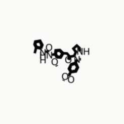 COC(=O)c1ccc(N(C)C(C(=O)Cc2ccc(NC(=O)Nc3ccccc3C)c(OC)c2)C2CCCN2)cc1